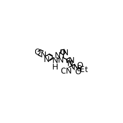 CCS(=O)(=O)N1CC(CC#N)(n2cc(C3=NC(Nc4ccc(N5CCOCC5)nc4)=NC4=CC=NC43)cn2)C1